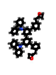 c1cc(CC2CCO2)cc(-c2cc(-c3cc(-c4cccc(CC5CCO5)c4)cc(-n4c5ccccc5c5ccccc54)c3)cc(-n3c4ccccc4c4ccccc43)c2)c1